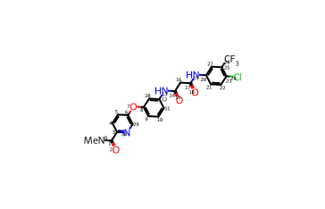 CNC(=O)c1ccc(Oc2cccc(NC(=O)CC(=O)Nc3ccc(Cl)c(C(F)(F)F)c3)c2)cn1